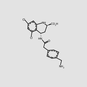 NCc1ccc(CC(=O)N[C@H]2C[C@H](C(=O)O)Nc3cc(Cl)cc(Cl)c32)cc1